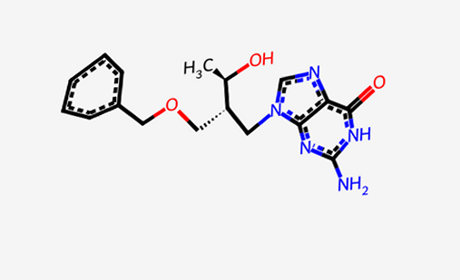 C[C@@H](O)[C@@H](COCc1ccccc1)Cn1cnc2c(=O)[nH]c(N)nc21